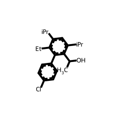 CCc1c(C(C)C)cc(C(C)C)c(C(C)O)c1-c1ccc(Cl)cc1